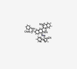 COc1ccccc1NC(=O)c1ccc2c(/N=N/c3c(C#N)cnn3-c3ncccn3)c(O)c(C(=O)Nc3ccccc3OC)cc2c1